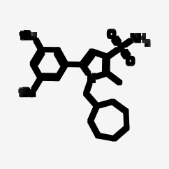 Cc1c(S(N)(=O)=O)cc(-c2cc(C(C)(C)C)cc(C(C)(C)C)c2)n1CC1CCCCCC1